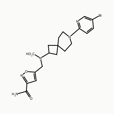 NC(=O)c1cc(CN(C(=O)O)C2CC3(CCN(c4ccc(Br)cn4)CC3)C2)on1